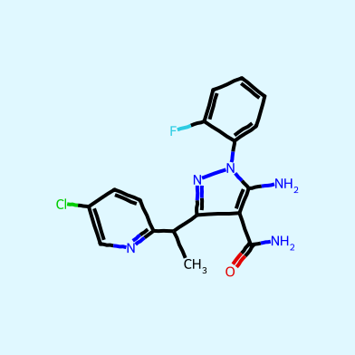 CC(c1ccc(Cl)cn1)c1nn(-c2ccccc2F)c(N)c1C(N)=O